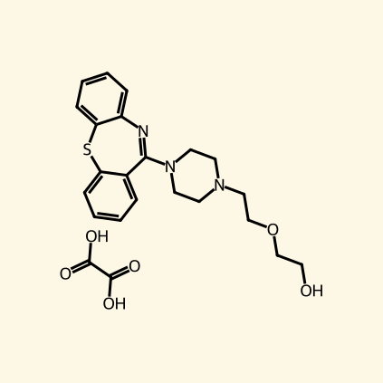 O=C(O)C(=O)O.OCCOCCN1CCN(C2=Nc3ccccc3Sc3ccccc32)CC1